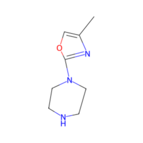 Cc1coc(N2CCNCC2)n1